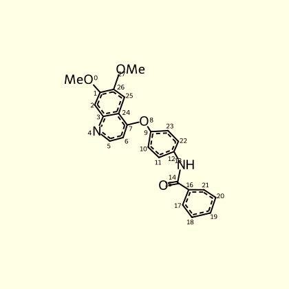 COc1cc2nccc(Oc3ccc(NC(=O)c4ccccc4)cc3)c2cc1OC